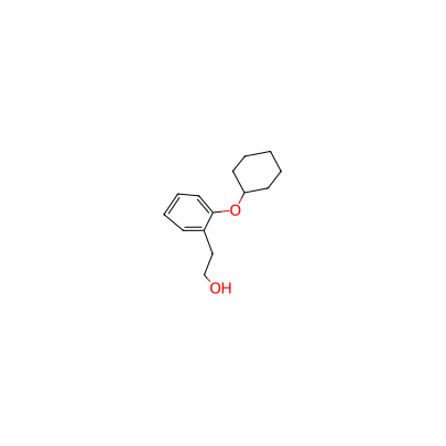 OCCc1ccccc1OC1CCCCC1